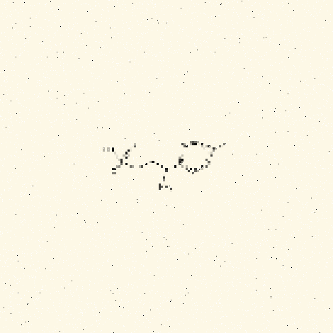 NC(CCS(=O)(=O)O)c1ccc(F)cc1